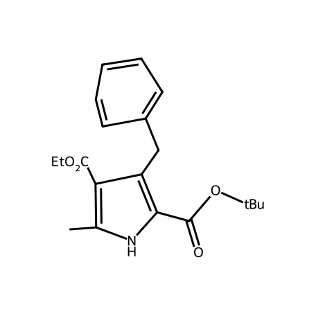 CCOC(=O)c1c(C)[nH]c(C(=O)OC(C)(C)C)c1Cc1ccccc1